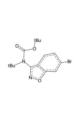 CC(C)(C)OC(=O)N(c1noc2cc(Br)ccc12)C(C)(C)C